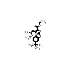 CCOC(=O)c1nc2sc3c(n2c1CN(C)OC)CCC(C(C)(C)C)C3